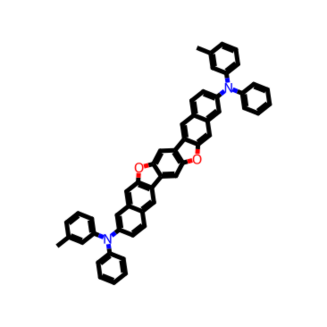 Cc1cccc(N(c2ccccc2)c2ccc3cc4c(cc3c2)oc2cc3c(cc24)oc2cc4cc(N(c5ccccc5)c5cccc(C)c5)ccc4cc23)c1